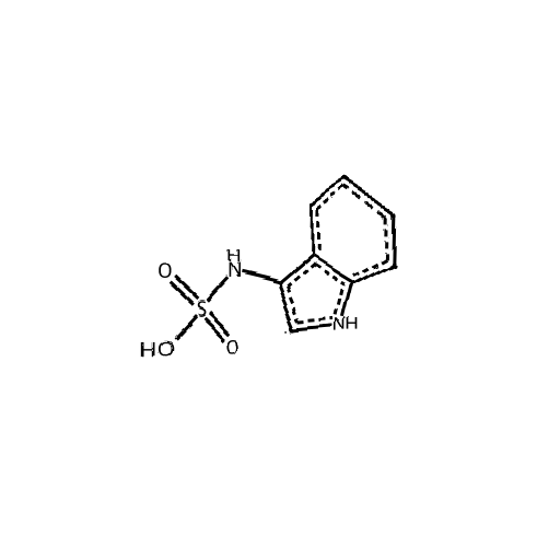 O=S(=O)(O)Nc1[c][nH]c2ccccc12